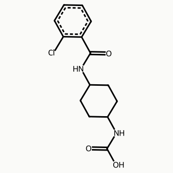 O=C(O)NC1CCC(NC(=O)c2ccccc2Cl)CC1